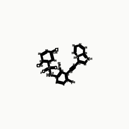 O=S(=O)(Nc1ccc(F)c(C#Cc2cnc3ccccn23)c1F)c1cc(Cl)ccc1Cl